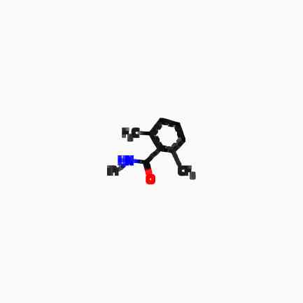 CC(C)NC(=O)c1c(C(F)(F)F)cccc1C(F)(F)F